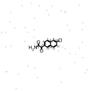 NC(=O)C(=O)c1ccc2cc(Cl)ccc2c1